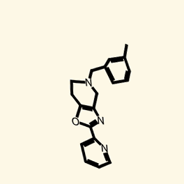 Cc1cccc(CN2CCc3oc(-c4ccccn4)nc3C2)c1